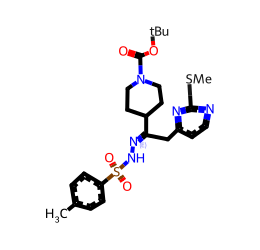 CSc1nccc(C/C(=N\NS(=O)(=O)c2ccc(C)cc2)C2CCN(C(=O)OC(C)(C)C)CC2)n1